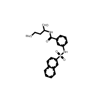 CSCCC(C=O)NC(=O)c1cccc(NS(=O)(=O)c2ccc3ccccc3c2)c1